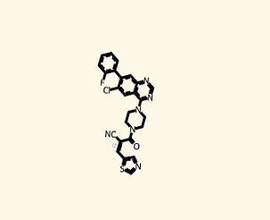 N#C/C(=C/c1cncs1)C(=O)N1CCN(c2ncnc3cc(-c4ccccc4F)c(Cl)cc23)CC1